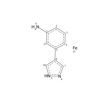 Nc1cccc(-c2cn[nH]c2)c1.[Fe]